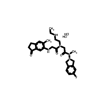 CCNCCN(CC(=O)N(C)N1Cc2ccc(F)cc2C1)C(=O)CNc1cc2c(cc1C)CCC2=O.Cl.Cl